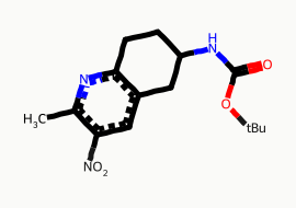 Cc1nc2c(cc1[N+](=O)[O-])CC(NC(=O)OC(C)(C)C)CC2